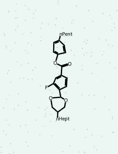 CCCCCCCC1COC(c2ccc(C(=O)Oc3ccc(CCCCC)cc3)cc2F)OC1